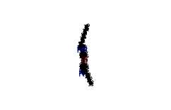 CCCCCCCCCCc1cnc(-c2ccc(OC[C@H]3CC[C@@](C#N)(CCCCCCCC)CC3)cc2)nc1